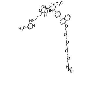 CC[C@H](C)[C@H](NC(=O)CCCNc1cc(C)ccn1)C(=O)N[C@@H](CC(=O)O)c1ccc(-c2ccc(OCCOCCOCCOCCOCCN=[N+]=[N-])c3ccccc23)cc1